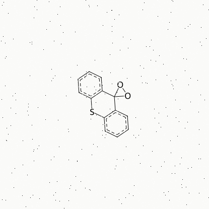 c1ccc2c(c1)Sc1ccccc1C21OO1